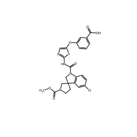 COC(=O)N1CCC2(C1)CN(C(=O)Nc1ncc(Oc3cccc(C(=O)O)c3)s1)c1ccc(Cl)cc12